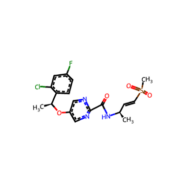 C[C@H](/C=C/S(C)(=O)=O)NC(=O)c1ncc(O[C@@H](C)c2ccc(F)cc2Cl)cn1